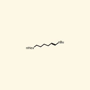 [CH2]CCCCCCCCCC=CCCCC